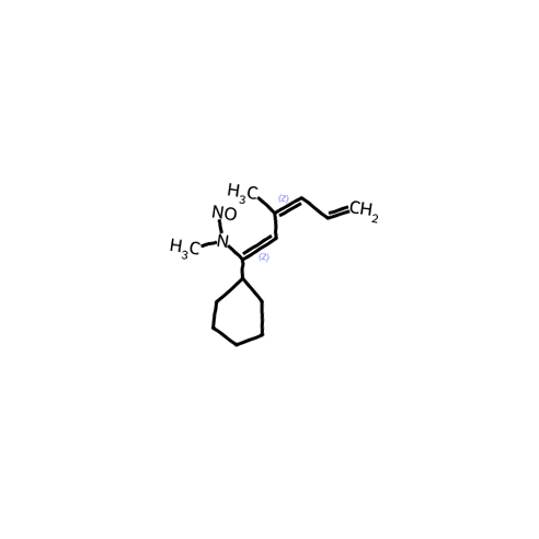 C=C/C=C(C)\C=C(\C1CCCCC1)N(C)N=O